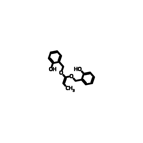 CC=C(OCc1ccccc1O)OCc1ccccc1O